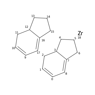 C1=CCC2CCCC2=C1.C1=CCC2CCCC2=C1.[Zr]